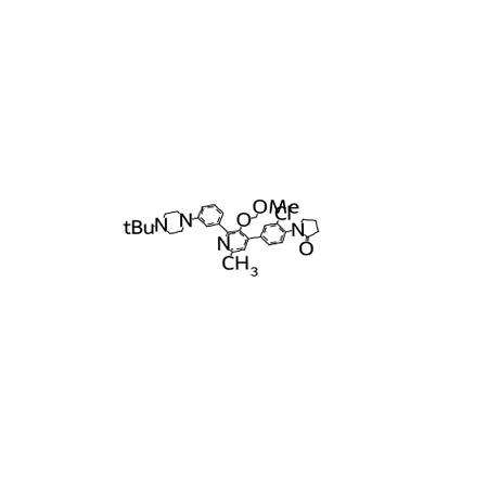 COCOc1c(-c2ccc(N3CCCC3=O)c(Cl)c2)cc(C)nc1-c1cccc(N2CCN(C(C)(C)C)CC2)c1